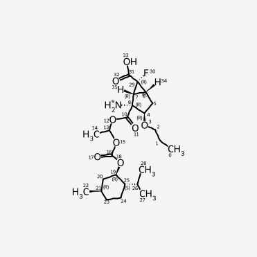 CCCO[C@@H]1C[C@@H]2[C@H]([C@]1(N)C(=O)OC(C)OC(=O)O[C@@H]1C[C@H](C)CC[C@H]1C(C)C)[C@@]2(F)C(=O)O